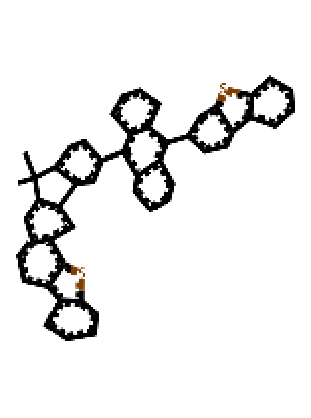 CC1(C)c2ccc(-c3c4ccccc4c(-c4ccc5c(c4)sc4ccccc45)c4ccccc34)cc2-c2cc3c(ccc4c5ccccc5sc34)cc21